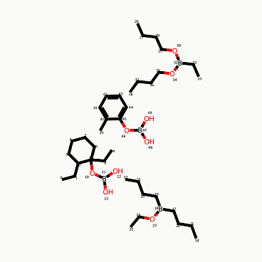 CCC1CCCCC1(CC)OB(O)O.CCCCB(CCCC)OCC.CCCCOB(CC)OCCCC.Cc1ccccc1OB(O)O